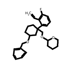 C=Cc1c(F)cccc1C1(COC2CCCCO2)CCCC(OCc2ccccc2)C1